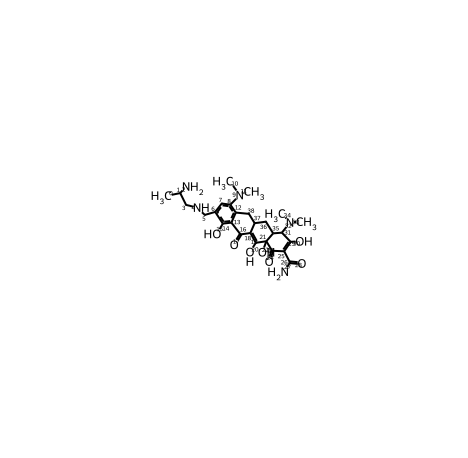 CC(N)CNCc1cc(N(C)C)c2c(c1O)C(=O)C1=C(O)C3(O)C(=O)C(C(N)=O)=C(O)C(N(C)C)C3CC1C2